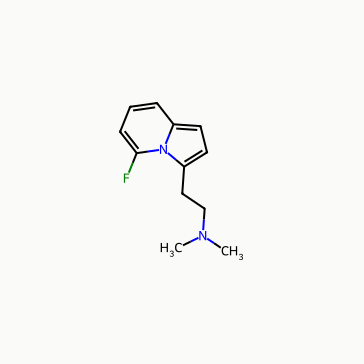 CN(C)CCc1ccc2cccc(F)n12